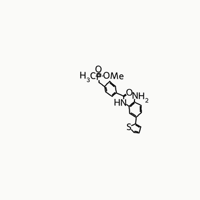 CO[P@](C)(=O)Cc1ccc(C(=O)Nc2cc(-c3cccs3)ccc2N)cc1